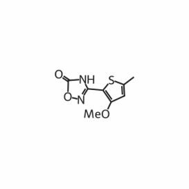 COc1cc(C)sc1-c1noc(=O)[nH]1